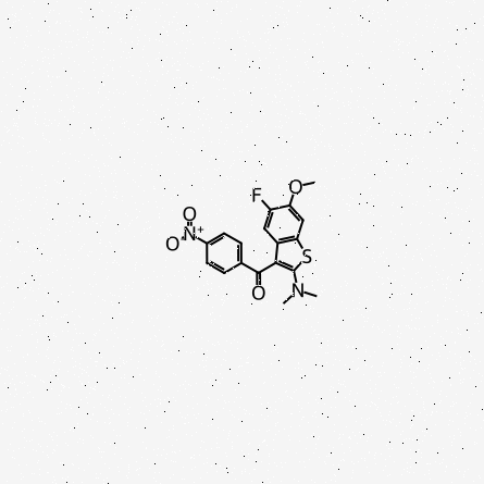 COc1cc2sc(N(C)C)c(C(=O)c3ccc([N+](=O)[O-])cc3)c2cc1F